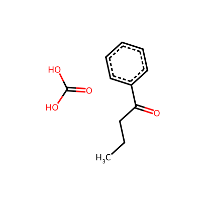 CCCC(=O)c1ccccc1.O=C(O)O